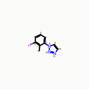 Cc1c(I)cccc1-n1ccnn1